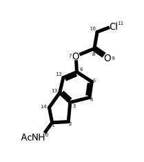 CC(=O)NC1Cc2ccc(OC(=O)CCl)cc2C1